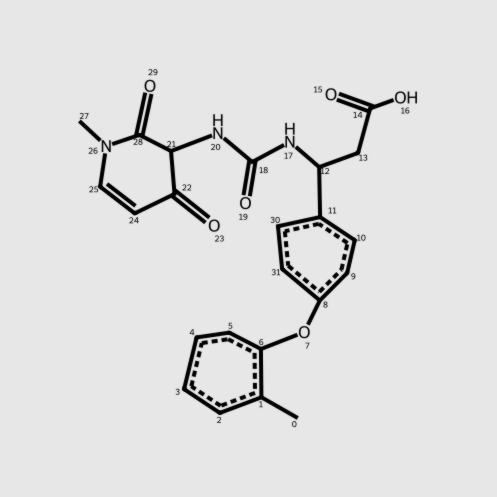 Cc1ccccc1Oc1ccc(C(CC(=O)O)NC(=O)NC2C(=O)C=CN(C)C2=O)cc1